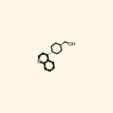 OC[C@H]1CC[C@H](c2ccnc3ccccc32)CC1